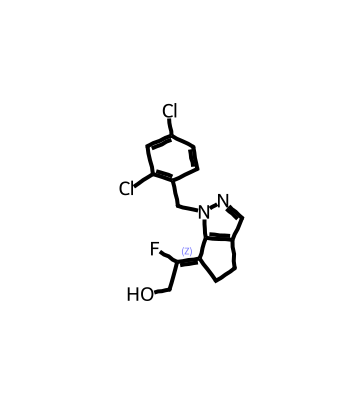 OC/C(F)=C1\CCc2cnn(Cc3ccc(Cl)cc3Cl)c21